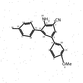 COc1ccc(-c2cc(C#N)c(N)c(-c3ccc(C)cc3)c2)cc1